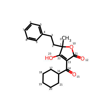 CC1(CCc2ccccc2)OC(=O)C(C(=O)C2CCCCC2)=C1O